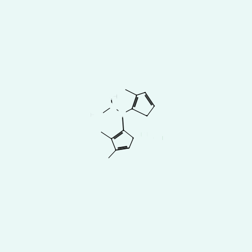 CC1=CC[C]([Zr]([C]2=C(C)C=CC2)[SiH](C)C)=C1C.Cl.Cl